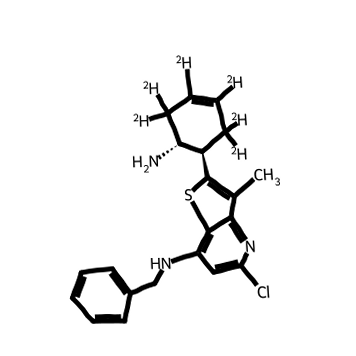 [2H]C1=C([2H])C([2H])([2H])[C@@H](c2sc3c(NCc4ccccc4)cc(Cl)nc3c2C)[C@H](N)C1([2H])[2H]